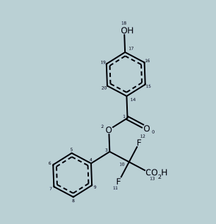 O=C(OC(c1ccccc1)C(F)(F)C(=O)O)c1ccc(O)cc1